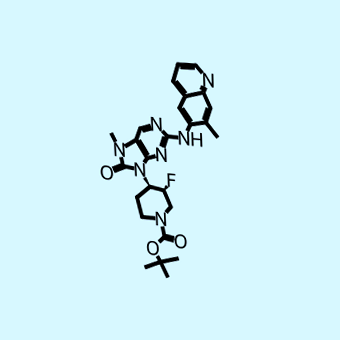 Cc1cc2ncccc2cc1Nc1ncc2c(n1)n([C@@H]1CCN(C(=O)OC(C)(C)C)C[C@@H]1F)c(=O)n2C